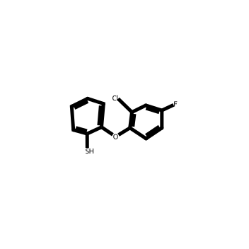 Fc1ccc(Oc2ccccc2S)c(Cl)c1